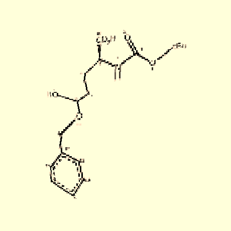 CC(C)(C)OC(=O)N[C@@H](CCC(O)OCc1ccccc1)C(=O)O